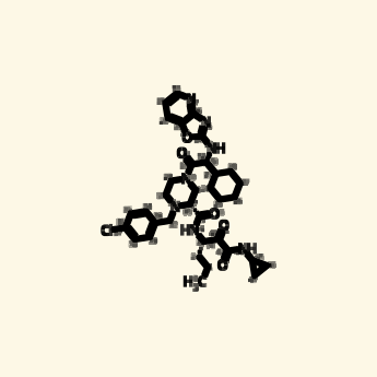 CCC[C@H](NC(=O)[C@H]1CN(C(=O)[C@@H](Nc2nc3ncccc3o2)C2CCCCC2)CCN1Cc1ccc(Cl)cc1)C(=O)C(=O)NC1CC1